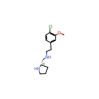 COc1cc(CCNC[C@@H]2CCCN2)ccc1Cl